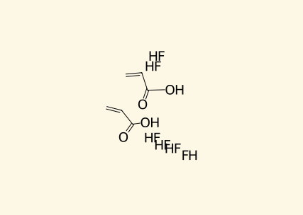 C=CC(=O)O.C=CC(=O)O.F.F.F.F.F.F